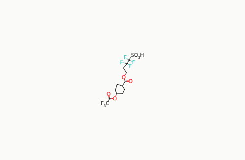 O=C(OCCC(F)(F)C(F)(F)S(=O)(=O)O)C1CCC(OC(=O)C(F)(F)F)CC1